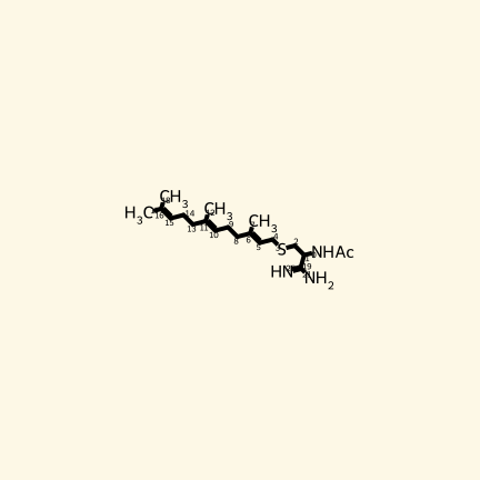 CC(=O)NC(CSC/C=C(\C)CC/C=C(\C)CCC=C(C)C)C(=N)N